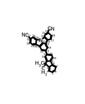 CC1(C)c2ccccc2-c2ccc(-c3cc4c5ccc(C#N)cc5n5c6cc(C#N)ccc6c(c3)c45)cc21